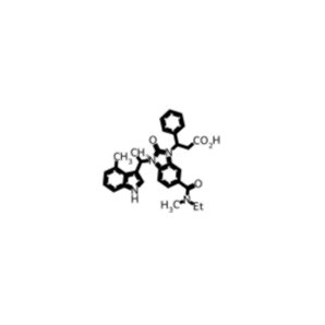 CCN(C)C(=O)c1ccc2c(c1)n(C(CC(=O)O)c1ccccc1)c(=O)n2C(C)c1c[nH]c2cccc(C)c12